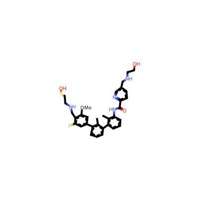 COc1cc(-c2cccc(-c3cccc(NC(=O)c4ccc(CNCCO)cn4)c3C)c2C)cc(F)c1CNCCSO